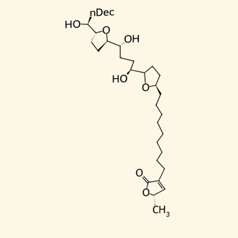 CCCCCCCCCC[C@H](O)[C@H]1CC[C@H]([C@H](O)CC[C@H](O)C2CC[C@@H](CCCCCCCCCC3=C[C@H](C)OC3=O)O2)O1